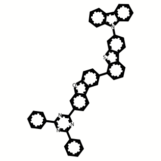 c1ccc(-c2nc(-c3ccccc3)nc(-c3ccc4c(c3)oc3ccc(-c5cccc6c5sc5cc(-n7c8ccccc8c8ccccc87)ccc56)cc34)n2)cc1